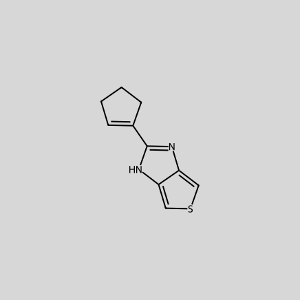 C1=C(c2nc3cscc3[nH]2)CCC1